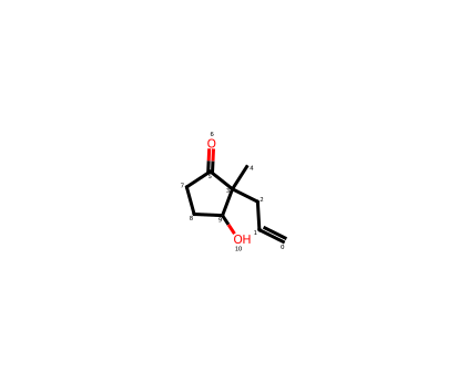 C=CCC1(C)C(=O)CCC1O